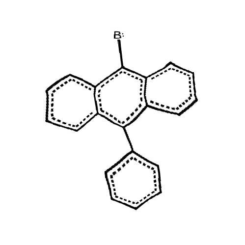 [B]c1c2ccccc2c(-c2ccccc2)c2ccccc12